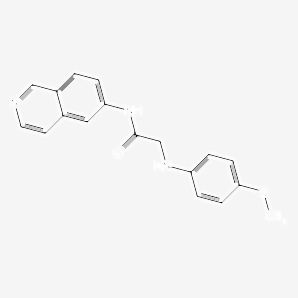 COc1ccc(NCC(=O)Nc2ccc3cnccc3c2)cc1